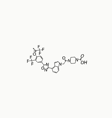 C[C@H](Oc1ccc(-c2nc(-c3cccc4c3ccn4CC(=O)N3CCN(C(=O)O)CC3)no2)cc1C(F)(F)F)C(F)(F)F